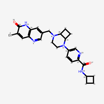 CCc1cc2ncc(CN3CCN(c4ccc(C(=O)NC5CCC5)nc4)C4CCC43)cc2[nH]c1=O